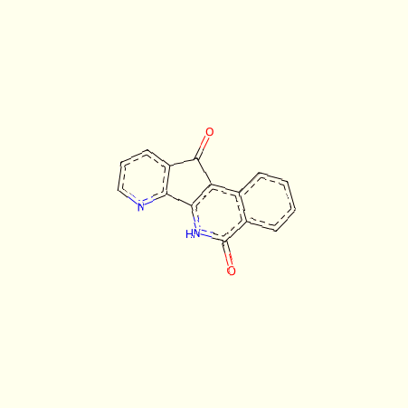 O=C1c2cccnc2-c2[nH]c(=O)c3ccccc3c21